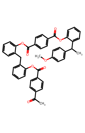 COc1ccc(C(C)c2ccccc2OC(=O)c2ccc(C(=O)Oc3ccccc3Cc3ccccc3OC(=O)c3ccc(C(C)=O)cc3)cc2)cc1